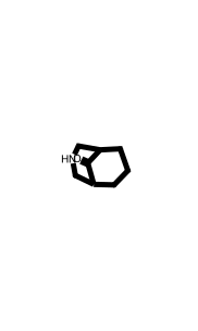 O=C1C2CCCC1CNC2